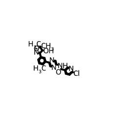 Cc1ccc(C2=NOC(C)(C)C2O)cc1-c1cnc(NC(=O)c2ccc(Cl)nc2)cn1